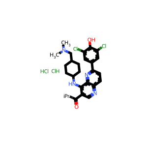 CC(C)C(=O)c1cnc2ccc(-c3cc(Cl)c(O)c(Cl)c3)nc2c1NC1CCC(CN(C)C)CC1.Cl.Cl